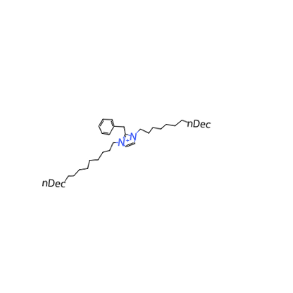 CCCCCCCCCCCCCCCCCCC[n+]1ccn(CCCCCCCCCCCCCCCCC)c1Cc1ccccc1